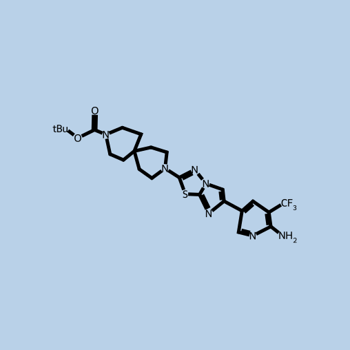 CC(C)(C)OC(=O)N1CCC2(CC1)CCN(c1nn3cc(-c4cnc(N)c(C(F)(F)F)c4)nc3s1)CC2